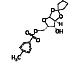 Cc1ccc(S(=O)(=O)OC[C@@H]2OC3OC4(CCCC4)O[C@H]3[C@@H]2O)cc1